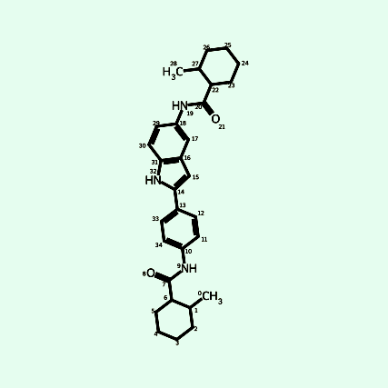 CC1CCCCC1C(=O)Nc1ccc(-c2cc3cc(NC(=O)C4CCCCC4C)ccc3[nH]2)cc1